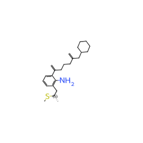 C=C(CCCC(=C)c1cccc(C[C@H](C)SC)c1N)CC1CCCCC1